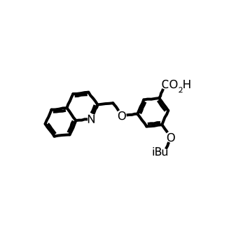 CCC(C)Oc1cc(OCc2ccc3ccccc3n2)cc(C(=O)O)c1